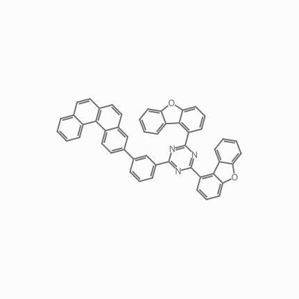 c1cc(-c2ccc3c(ccc4ccc5ccccc5c43)c2)cc(-c2nc(-c3cccc4oc5ccccc5c34)nc(-c3cccc4oc5ccccc5c34)n2)c1